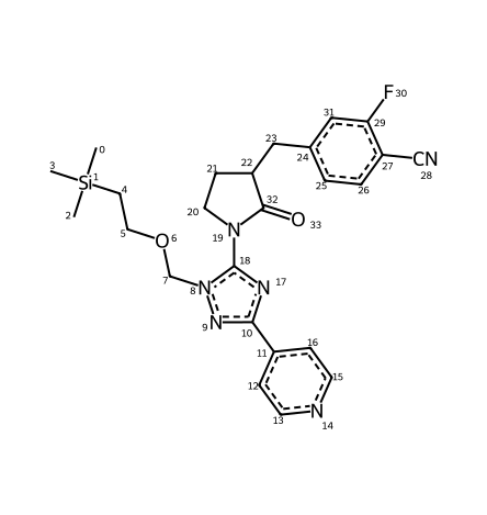 C[Si](C)(C)CCOCn1nc(-c2ccncc2)nc1N1CCC(Cc2ccc(C#N)c(F)c2)C1=O